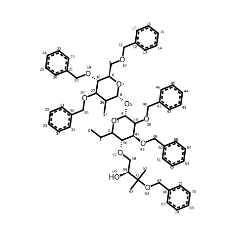 CCC1O[C@H](O[C@H]2O[C@H](COCc3ccccc3)[C@@H](OCc3ccccc3)C(OCc3ccccc3)C2C)C(OCc2ccccc2)[C@@H](OCc2ccccc2)[C@@H]1OC[C@H](O)C(C)(C)OCc1ccccc1